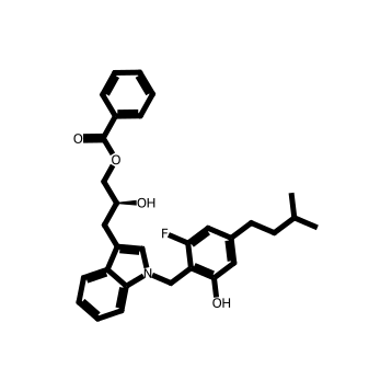 CC(C)CCc1cc(O)c(Cn2cc(C[C@H](O)COC(=O)c3ccccc3)c3ccccc32)c(F)c1